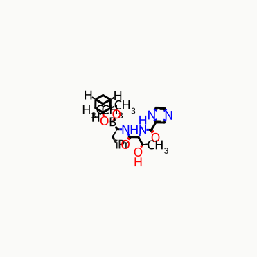 CC(C)C[C@H](NC(=O)[C@@H](NC(=O)c1cnccn1)[C@@H](C)O)B1O[C@@H]2C[C@@H]3C[C@@H](C3(C)C)[C@]2(C)O1